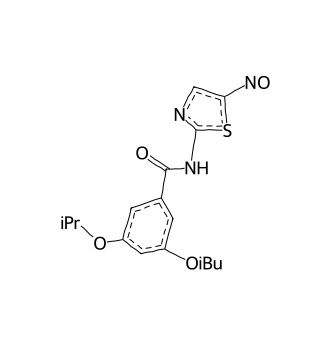 CC(C)COc1cc(OC(C)C)cc(C(=O)Nc2ncc(N=O)s2)c1